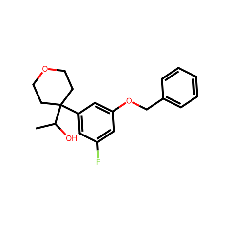 CC(O)C1(c2cc(F)cc(OCc3ccccc3)c2)CCOCC1